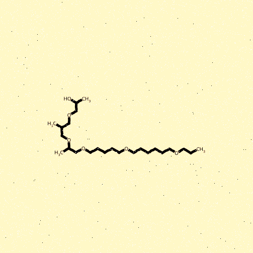 CCCOCCCCCCOCCCCCOCC(C)OCC(C)COCC(C)O